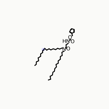 CCCCCCCC/C=C\CCCCCCCCN(CCCCCCCCCCCCCCCC)C(=O)CCNC(=O)OCc1ccccc1